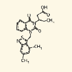 CCC(CC(=O)O)n1c(=O)c2ccccc2n(Cc2snc3cc(C)cc(C)c23)c1=O